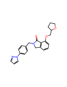 O=C1c2c(cccc2OCC2CCCO2)CN1Cc1ccc(-n2cccn2)cc1